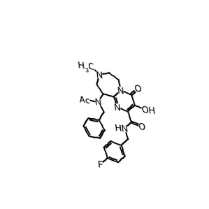 CC(=O)N(Cc1ccccc1)C1CN(C)CCn2c1nc(C(=O)NCc1ccc(F)cc1)c(O)c2=O